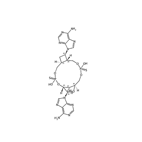 Nc1ncnc2c1ncn2[C@@H]1C[C@@H]2COP(O)(=S)O[C@@H]3[C@H](O)[C@@H](COP(O)(=S)OC[C@H]21)O[C@H]3n1cnc2c(N)ncnc21